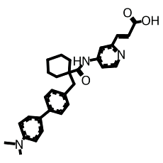 CN(C)c1ccc(-c2ccc(CC3(C(=O)Nc4ccnc(/C=C/C(=O)O)c4)CCCCC3)cc2)cc1